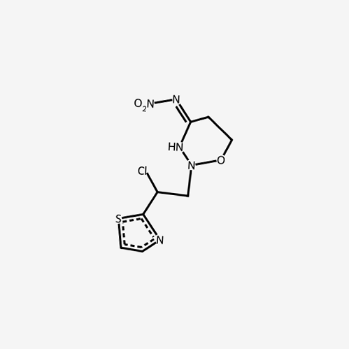 O=[N+]([O-])/N=C1/CCON(CC(Cl)c2nccs2)N1